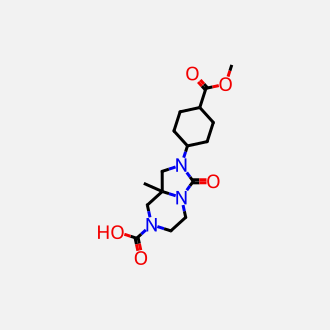 COC(=O)C1CCC(N2CC3(C)CN(C(=O)O)CCN3C2=O)CC1